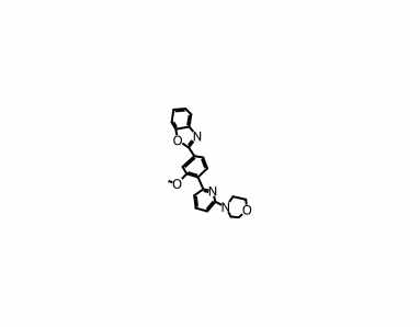 COc1cc(-c2nc3ccccc3o2)ccc1-c1cccc(N2CCOCC2)n1